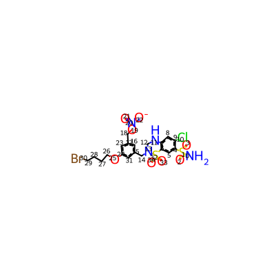 NS(=O)(=O)c1cc2c(cc1Cl)NCN(Cc1cc(CO[N+](=O)[O-])cc(OCCCCBr)c1)S2(=O)=O